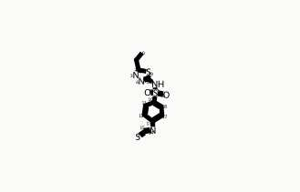 CCc1nnc(NS(=O)(=O)c2ccc(N=C=S)cc2)s1